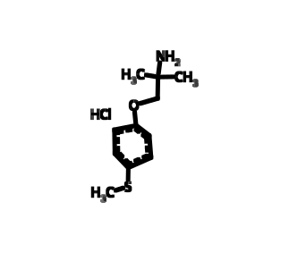 CSc1ccc(OCC(C)(C)N)cc1.Cl